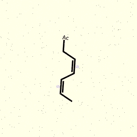 C/C=C\C=C/CC(C)=O